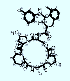 Cc1cccc(C[C@H](NC(=O)Nc2cccc(Cl)c2)C(=O)N[C@@H]2C(=O)N3C[C@H](O)C[C@H]3C(=O)N3CCCC[C@H]3C(=O)N[C@@H](C)C(=O)N3C[C@@H](C)C[C@H]3C(=O)O[C@H]2C)c1